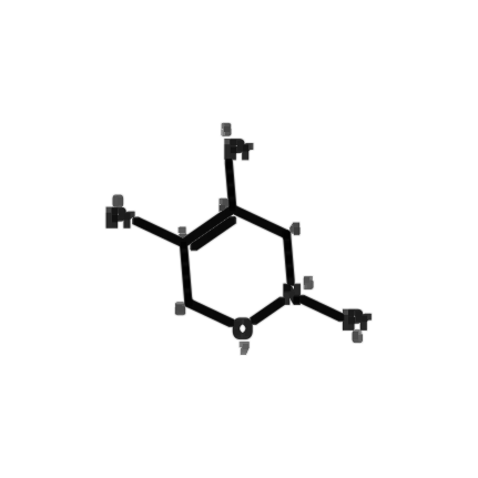 CC(C)C1=C(C(C)C)CN(C(C)C)OC1